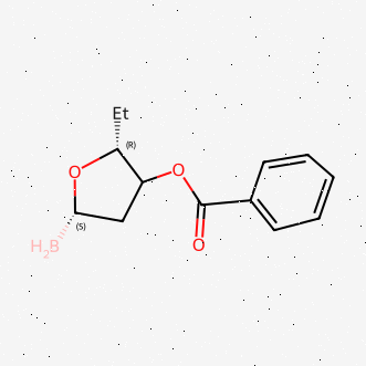 B[C@H]1CC(OC(=O)c2ccccc2)[C@@H](CC)O1